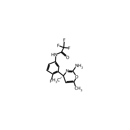 CC1=C[C@@](C)(c2cc(NC(=O)C(F)(F)F)ccc2F)N=C(N)O1